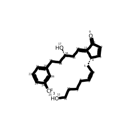 O=C1C=C[C@H](C/C=C\CCCCO)/C1=C\C[C@@H](O)CCc1cccc(C(F)(F)F)c1